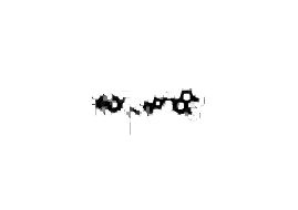 O=C1CCc2c(OC3CC4(C3)CN(CCNc3cc5nncn5cc3F)C4)ccc(Cl)c21